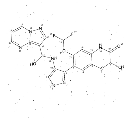 CC1Sc2cc(-c3n[nH]cc3NC(O)c3cnn4cccnc34)c(OC(F)F)cc2NC1=O